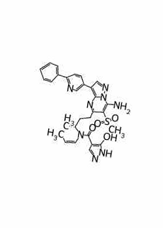 C/C=C\N(C(=O)c1cn[nH]c1O)[C@H](C)CCc1nc2c(-c3ccc(-c4ccccc4)nc3)cnn2c(N)c1S(C)(=O)=O